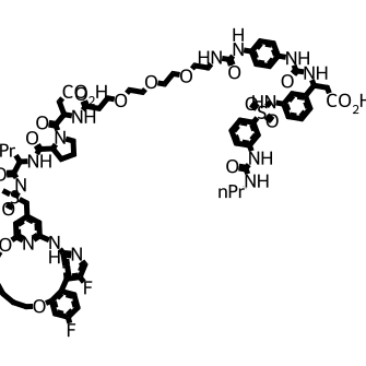 CCCNC(=O)Nc1cccc(S(=O)(=O)Nc2cccc(C(CC(=O)O)NC(=O)Nc3ccc(NC(=O)NCCOCCOCCOCCC(=O)NC(CC(=O)O)C(=O)N4CCCC4C(=O)NC(C(=O)N=S(C)(=O)Cc4cc5nc(c4)OCCCCCCOc4cc(F)ccc4-c4cc(ncc4F)N5)C(C)C)cc3)c2)c1